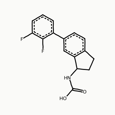 O=C(O)NC1CCc2ccc(-c3cccc(F)c3F)cc21